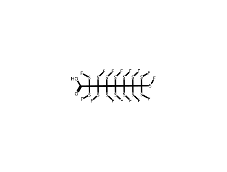 O=C(O)C(SF)(SF)C(SF)(SF)C(SF)(SF)C(SF)(SF)C(SF)(SF)C(SF)(SF)C(SF)(SF)SF